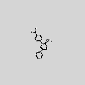 C=C1C=CC(c2ccccc2)=CN1c1ccc(C(F)F)cc1